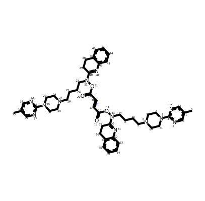 Cc1cnc(N2CCN(CCCCN(OC(=O)/C=C/C(=O)ON(CCCCN3CCN(c4ncc(C)cn4)CC3)C3=Nc4ccccc4CC3)C3=Nc4ccccc4CC3)CC2)nc1